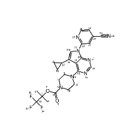 CC(C)(OC(=O)N1CCN(c2ncnc3c2c(C2CC2)cn3-c2cc(C#N)ccn2)CC1)C(F)(F)F